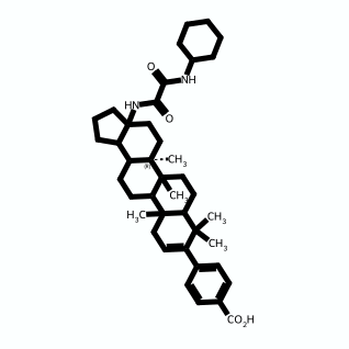 CC1(C)C(c2ccc(C(=O)O)cc2)=CCC2(C)C1CCC1(C)C2CCC2C3CCCC3(NC(=O)C(=O)NC3CCCCC3)CC[C@]21C